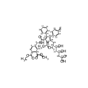 COC(=O)c1ccc(CNC(=O)c2c(-c3ccccc3)c(-c3ccc(F)cc3)c(CCC(O)CC(O)CC(=O)O)n2C(C)C)cc1C(=O)OC